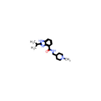 CC(C)c1nc2c(C(=O)NCC3CCN(C)CC3)cccc2[nH]1